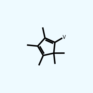 CC1=C(C)C(C)(C)[C]([V])=C1C